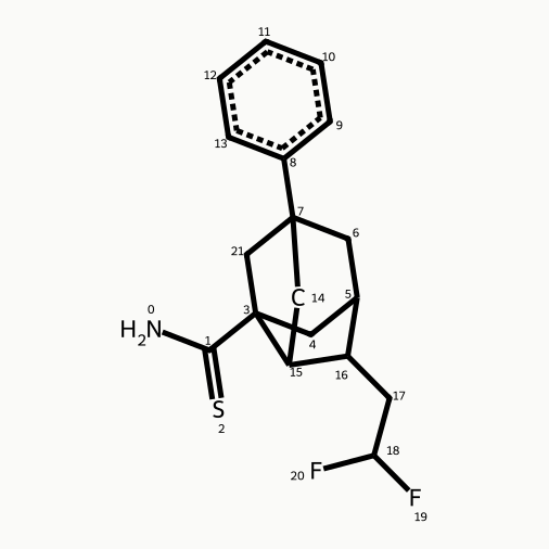 NC(=S)C12CC3CC(c4ccccc4)(CC1C3CC(F)F)C2